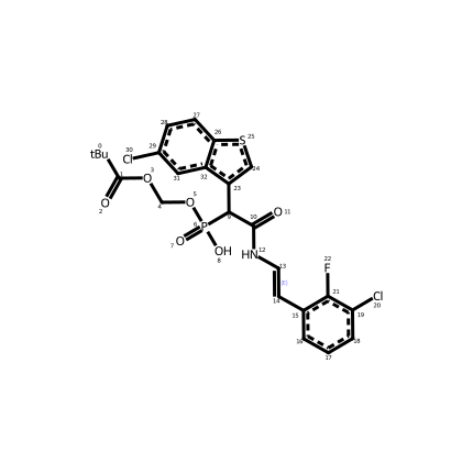 CC(C)(C)C(=O)OCOP(=O)(O)C(C(=O)N/C=C/c1cccc(Cl)c1F)c1csc2ccc(Cl)cc12